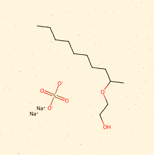 CCCCCCCCC(C)OCCO.O=S(=O)([O-])[O-].[Na+].[Na+]